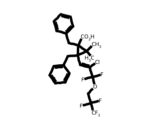 CC1(C)C(C=C(Cl)C(F)(F)OCC(F)(F)C(F)(F)F)(Cc2ccccc2)C1(Cc1ccccc1)C(=O)O